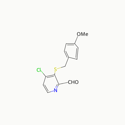 COc1ccc(CSc2c(Cl)ccnc2C=O)cc1